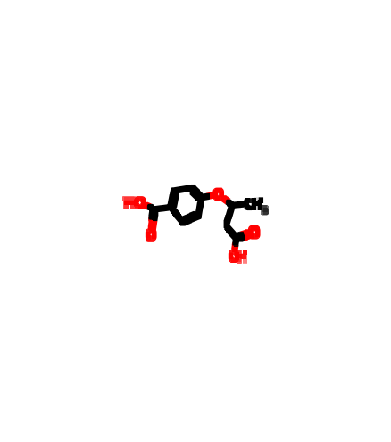 CC(CC(=O)O)Oc1ccc(C(=O)O)cc1